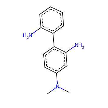 CN(C)c1ccc(-c2ccccc2N)c(N)c1